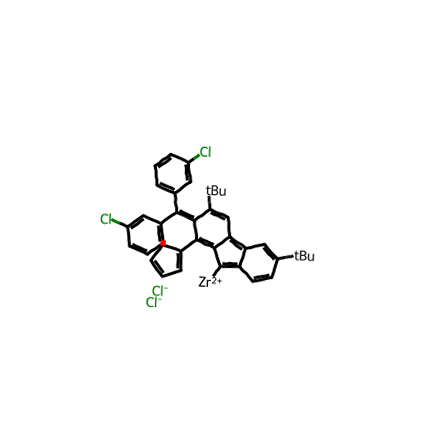 CC(C)(C)c1ccc2c(c1)=c1cc(C(C)(C)C)c(=C(c3cccc(Cl)c3)c3cccc(Cl)c3)c(C3=CC=CC3)c1[C]=2[Zr+2].[Cl-].[Cl-]